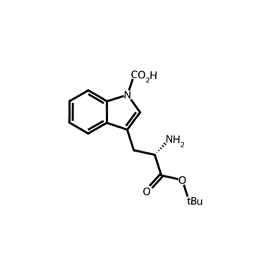 CC(C)(C)OC(=O)[C@@H](N)Cc1cn(C(=O)O)c2ccccc12